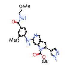 COCCNC(=O)c1ccc(Nc2cc3c(cn2)cc(-c2cnn(C)c2)n3C(=O)OC(C)(C)C)c(OC)c1